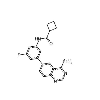 O=C(Nc1cc(F)cc(-c2ccc3ncnc([AsH2])c3c2)c1)C1CCC1